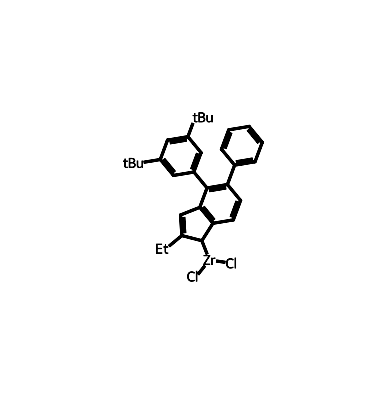 CCC1=Cc2c(ccc(-c3ccccc3)c2-c2cc(C(C)(C)C)cc(C(C)(C)C)c2)[CH]1[Zr]([Cl])[Cl]